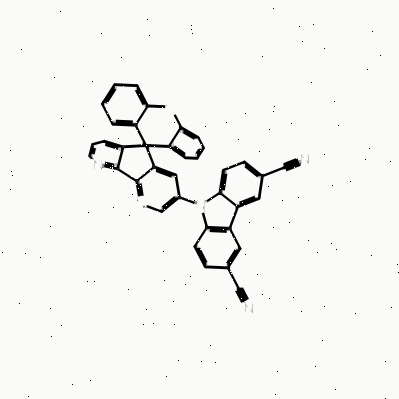 N#Cc1ccc2c(c1)c1cc(C#N)ccc1n2-c1cnc2c(c1)C1(c3ccccc3Sc3ccccc31)c1cccnc1-2